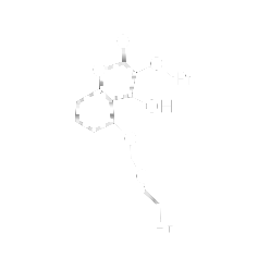 CCC=CCCOc1cccc2oc(=O)c(OC(C)C)c(O)c12